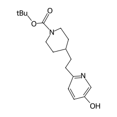 CC(C)(C)OC(=O)N1CCC(CCc2ccc(O)cn2)CC1